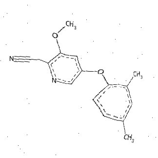 COc1cc(Oc2ccc(C)cc2C)cnc1C#N